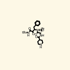 CC(C)C[C@H](NC(=O)C1CCNCC1)C(=O)NC(Cc1ccccc1)C(=O)C(=O)NC(C)(C)C.Cl